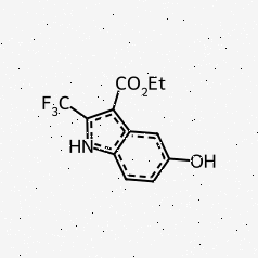 CCOC(=O)c1c(C(F)(F)F)[nH]c2ccc(O)cc12